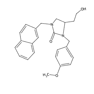 COc1ccc(CN2C(=O)N(Cc3ccc4ccccc4c3)CC2CCO)cc1